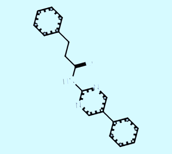 O=C(CCc1ccccc1)Nc1ncc(-c2ccccc2)cn1